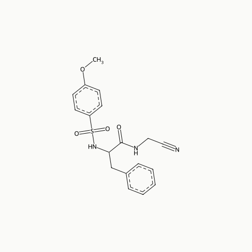 COc1ccc(S(=O)(=O)NC(Cc2ccccc2)C(=O)NCC#N)cc1